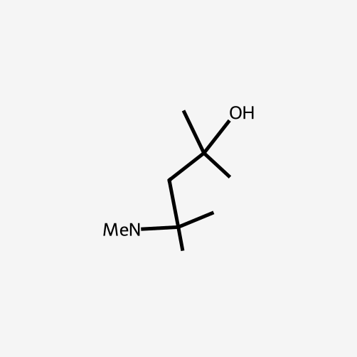 CNC(C)(C)CC(C)(C)O